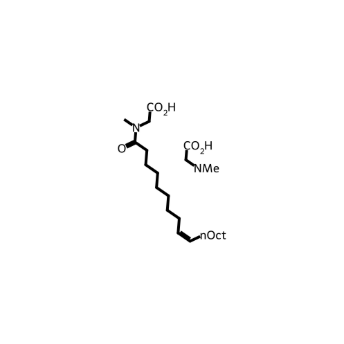 CCCCCCCC/C=C\CCCCCCCC(=O)N(C)CC(=O)O.CNCC(=O)O